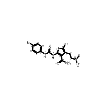 CCc1sc(NC(=O)Nc2ccc(Br)cc2)c(C(N)=O)c1CCN(C)CC